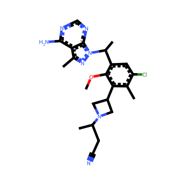 COc1c(C(C)n2nc(C)c3c(N)ncnc32)cc(Cl)c(C)c1C1CN(C(C)CC#N)C1